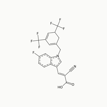 N#C/C(=C\c1cn(CC2=CC(C(F)(F)F)=CC(C(F)(F)F)C2)c2cc(F)ccc12)C(=O)O